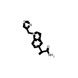 C=C(C(N)=O)c1ccc2c(ccn2Cc2cscn2)c1